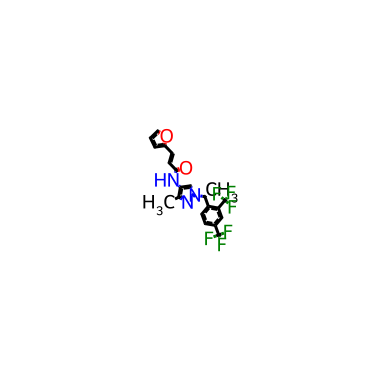 Cc1nn(C(C)c2ccc(C(F)(F)F)cc2C(F)(F)F)cc1NC(=O)/C=C/c1ccco1